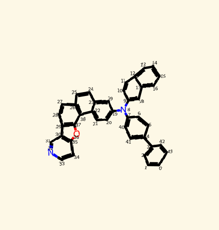 c1ccc(-c2ccc(N(c3ccc4ccccc4c3)c3ccc4c(ccc5ccc6c7cnccc7oc6c54)c3)cc2)cc1